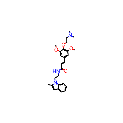 COc1cc(/C=C/C(=O)NCCn2c(C)cc3ccccc32)cc(OC)c1OCCN(C)C